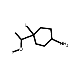 CC(OI)C1(I)CCC(N)CC1